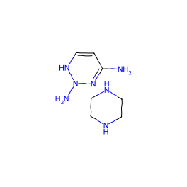 C1CNCCN1.NC1=NN(N)NC=C1